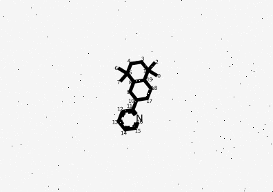 CC1(C)CCC(C)(C)C2CC(c3ccccn3)CCC21